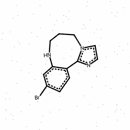 Brc1ccc2c(c1)NCCCn1ccnc1-2